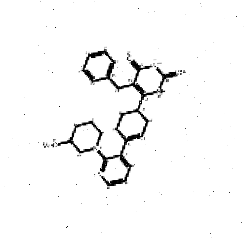 COC1CCCN(c2ncccc2C2=CCC(c3[nH]c(=O)[nH]c(=O)c3Cc3ccccc3)CC2)C1